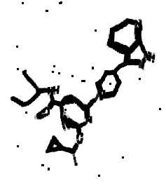 CC[C@@H](C)NC(=O)c1cc(N2CCC(c3n[nH]c4ncccc34)CC2)nc(O[C@H](C)C2CC2)n1